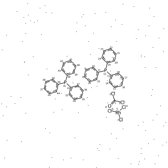 O=C(Cl)Cl.[Cl][Rh]([Cl])[Cl].c1ccc(P(c2ccccc2)c2ccccc2)cc1.c1ccc(P(c2ccccc2)c2ccccc2)cc1